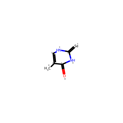 Cc1c[nH]c(=[Se])[nH]c1=O